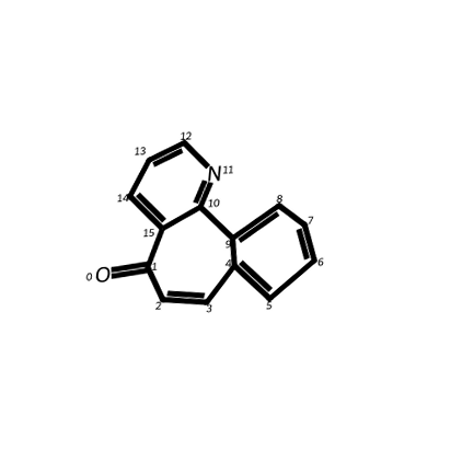 O=c1ccc2ccccc2c2ncccc12